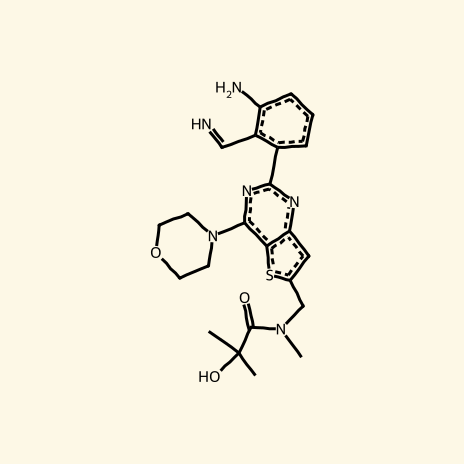 CN(Cc1cc2nc(-c3cccc(N)c3C=N)nc(N3CCOCC3)c2s1)C(=O)C(C)(C)O